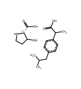 CC(C)Cc1ccc(C(C)C(=O)O)cc1.O=C(O)[C@H]1NCCC1O